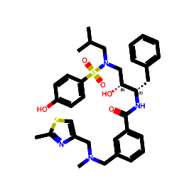 Cc1nc(CN(C)Cc2cccc(C(=O)N[C@@H](Cc3ccccc3)[C@H](O)CN(CC(C)C)S(=O)(=O)c3ccc(O)cc3)c2)cs1